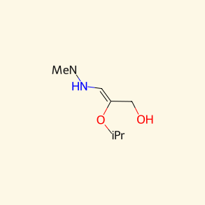 CNN/C=C(/CO)OC(C)C